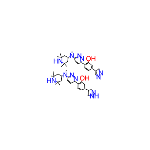 CN(c1ccc(-c2ccc(-c3cn[nH]c3)cc2O)nn1)C1CC(C)(C)NC(C)(C)C1.CN(c1ccc(-c2ccc(-c3cnn(C)c3)cc2O)nn1)C1CC(C)(C)NC(C)(C)C1